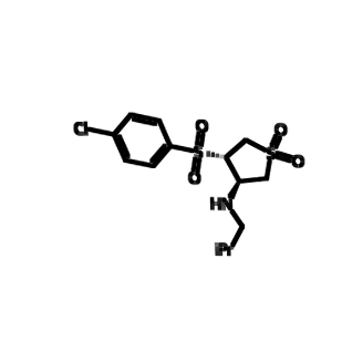 CC(C)CN[C@@H]1CS(=O)(=O)C[C@H]1S(=O)(=O)c1ccc(Cl)cc1